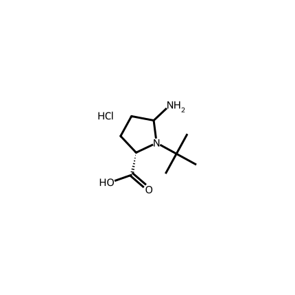 CC(C)(C)N1C(N)CC[C@H]1C(=O)O.Cl